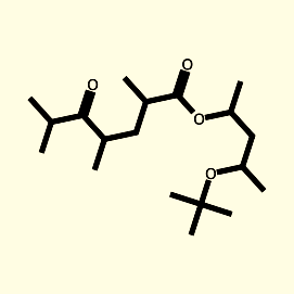 CC(CC(C)OC(C)(C)C)OC(=O)C(C)CC(C)C(=O)C(C)C